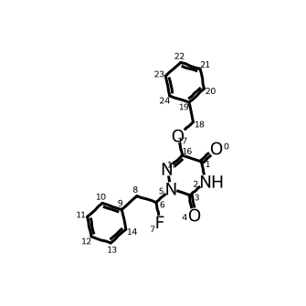 O=c1[nH]c(=O)n(C(F)Cc2ccccc2)nc1OCc1ccccc1